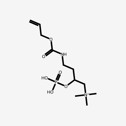 C=CCOC(=O)NCCC(C[N+](C)(C)C)OP(=O)(O)O